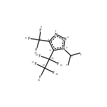 CC(C)n1nnc(C(F)(F)F)c1C(F)(F)C(F)(F)F